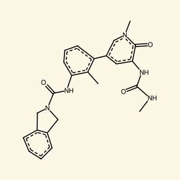 CNC(=O)Nc1cc(-c2cccc(NC(=O)N3Cc4ccccc4C3)c2C)cn(C)c1=O